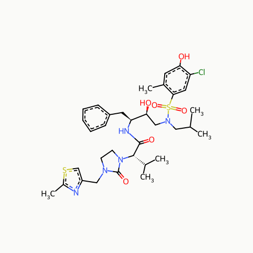 Cc1nc(CN2CCN([C@H](C(=O)N[C@@H](Cc3ccccc3)[C@@H](O)CN(CC(C)C)S(=O)(=O)c3cc(Cl)c(O)cc3C)C(C)C)C2=O)cs1